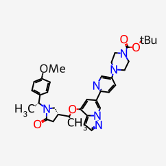 COc1ccc([C@@H](C)N2C[C@H]([C@@H](C)Oc3cc(-c4ccc(N5CCN(C(=O)OC(C)(C)C)CC5)cn4)cn4nccc34)CC2=O)cc1